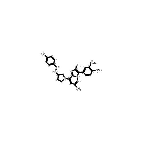 COc1ccc(-c2c(C)nc3c(N4CCC(NSc5ccc(C(F)(F)F)cc5)C4)cc(C)nn23)cc1OC